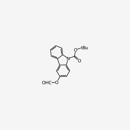 CC(C)(C)OC(=O)n1c2ccccc2c2cc(OC=O)ccc21